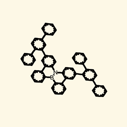 c1ccc(-c2ccc(-c3ccccc3)c(-c3ccc4c(c3)-c3ccccc3B3c5ccccc5-c5cc(-c6cc(-c7ccccc7)ccc6-c6ccccc6)ccc5N34)c2)cc1